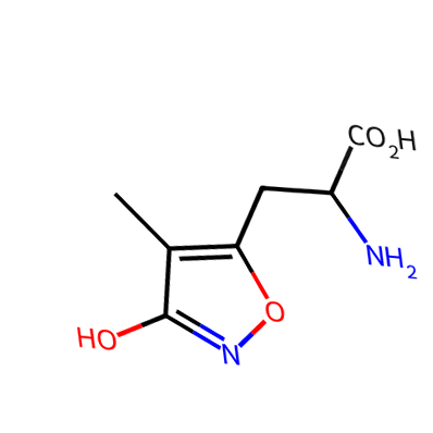 Cc1c(O)noc1CC(N)C(=O)O